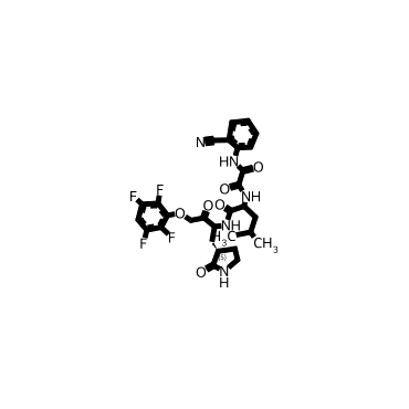 CC(C)CC(NC(=O)C(=O)Nc1ccccc1C#N)C(=O)NC(C[C@@H]1CCNC1=O)C(=O)COc1c(F)c(F)cc(F)c1F